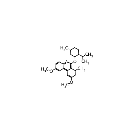 COC1=Cc2c(c(O[C@@H]3C[C@H](C)CC[C@H]3C(C)C)nc3ccc(OC)cc23)C(C)C1